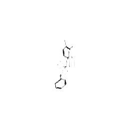 Cc1nc(NC(=O)OCc2ccccc2)ccc1I